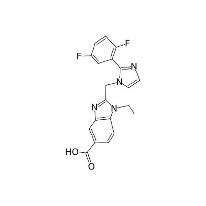 CCn1c(Cn2ccnc2-c2cc(F)ccc2F)nc2cc(C(=O)O)ccc21